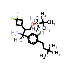 CC(C)(C)CCc1ccc([C@](C)(N)C(CO[Si](C)(C)C(C)(C)C)C2CC(F)(F)C2)cc1Cl